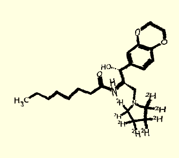 [2H]C1([2H])N(C[C@@H](NC(=O)CCCCCCC)[C@H](O)c2ccc3c(c2)OCCO3)C([2H])([2H])C([2H])([2H])C1([2H])[2H]